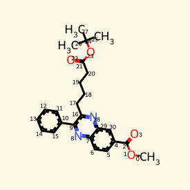 COC(=O)c1ccc2nc(-c3ccccc3)c(CCCCC(=O)OC(C)(C)C)nc2c1